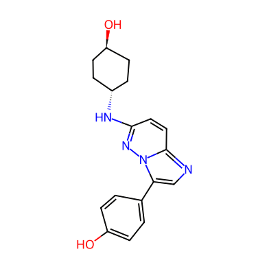 Oc1ccc(-c2cnc3ccc(N[C@H]4CC[C@H](O)CC4)nn23)cc1